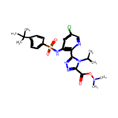 CC(C)n1c(C(=O)ON(C)C)nnc1-c1ncc(Cl)cc1NS(=O)(=O)c1ccc(C(C)(C)C)cc1